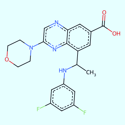 CC(Nc1cc(F)cc(F)c1)c1cc(C(=O)O)cc2ncc(N3CCOCC3)nc12